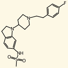 CS(=O)(=O)Nc1ccc2c(c1)N(C1CCN(CCc3ccc(F)cc3)CC1)CC2